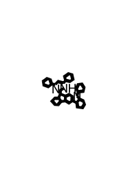 C1=C(c2ccccc2)NC(C2c3ccccc3-c3cc4c5ccccc5n(-c5ccccc5)c4cc32)N=C1c1ccccc1